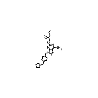 CCCC(COc1nc(N)c2cnn(Cc3ccc(CN4CCCC4)cc3)c2n1)OC